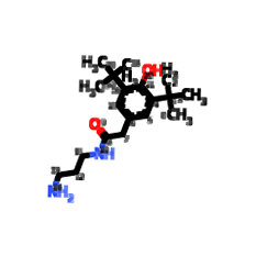 CC(C)(C)c1cc(CC(=O)NCCCN)cc(C(C)(C)C)c1O